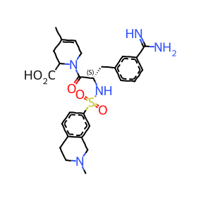 CC1=CCN(C(=O)[C@H](Cc2cccc(C(=N)N)c2)NS(=O)(=O)c2ccc3c(c2)CN(C)CC3)C(C(=O)O)C1